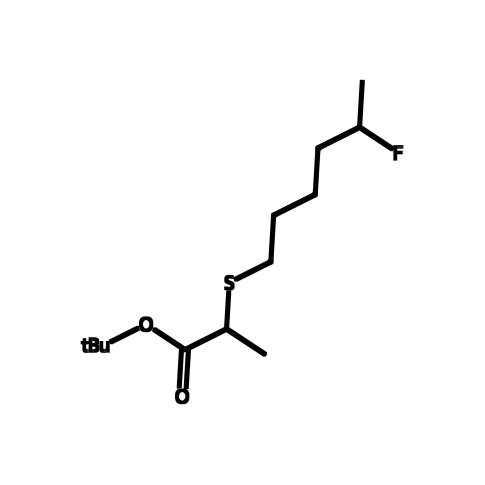 CC(F)CCCCSC(C)C(=O)OC(C)(C)C